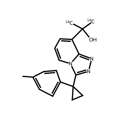 Cc1ccc(C2(c3nnc4c(C([14CH3])([14CH3])O)cccn34)CC2)cc1